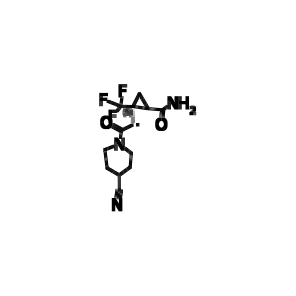 N#CC1CCN(C(=O)[CH][C@]2(C(F)(F)F)CC2C(N)=O)CC1